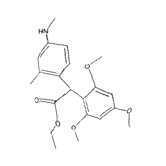 CCOC(=O)C(c1ccc(NC)cc1C)c1c(OC)cc(OC)cc1OC